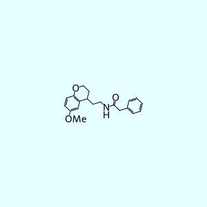 COc1ccc2c(c1)C(CCNC(=O)Cc1ccccc1)CCO2